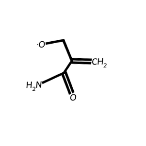 C=C(C[O])C(N)=O